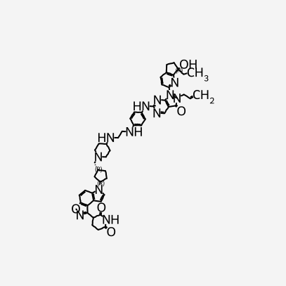 C=CCn1c(=O)c2cnc(Nc3ccc(NCCNC4CCN(C[C@@H]5CC[C@@H](n6ccc7c8c(C9CCC(=O)NC9=O)noc8ccc76)C5)CC4)cc3)nc2n1-c1ccc2c(n1)[C@@](O)(CC)CC2